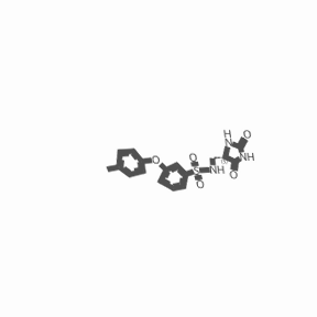 Cc1ccc(Oc2cccc(S(=O)(=O)NC[C@@H]3NC(=O)NC3=O)c2)cc1